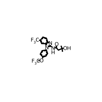 CC(C)(O)CC(=O)Nc1nc2ccc(C(F)(F)F)cc2n1-c1ccc(OC(F)(F)F)cc1